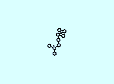 c1ccc(-c2cc(-c3cccc(-c4ccc(-c5cccc6c5-c5ccccc5C65c6ccccc6-c6ccccc65)cc4)c3)nc(-c3ccccc3)n2)cc1